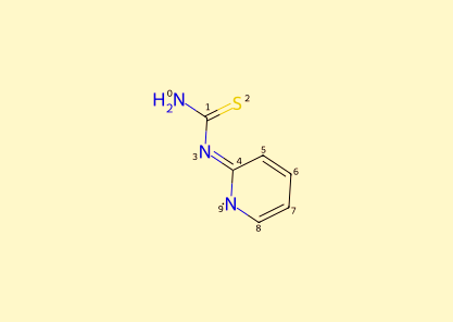 NC(=S)N=C1C=CC=C[N]1